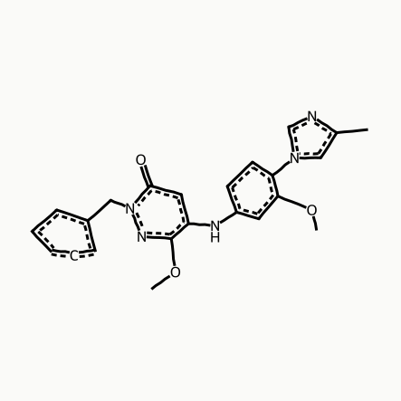 COc1cc(Nc2cc(=O)n(Cc3ccccc3)nc2OC)ccc1-n1cnc(C)c1